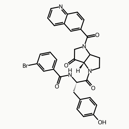 O=C(N[C@@H](Cc1ccc(O)cc1)C(=O)N1CCC2[C@H]1C(=O)CN2C(=O)c1ccc2ncccc2c1)c1cccc(Br)c1